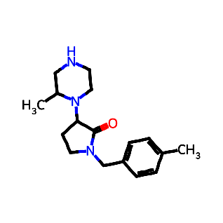 Cc1ccc(CN2CCC(N3CCNCC3C)C2=O)cc1